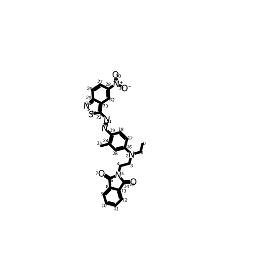 CCN(CCN1C(=O)c2ccccc2C1=O)c1ccc(/N=N/c2snc3ccc([N+](=O)[O-])cc23)c(C)c1